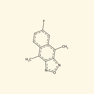 Cc1c2ccc(F)cc2c(C)c2nonc12